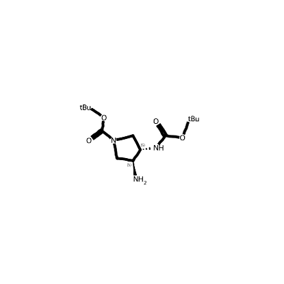 CC(C)(C)OC(=O)N[C@H]1CN(C(=O)OC(C)(C)C)C[C@@H]1N